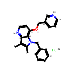 Cc1c(C)n(Cc2ccccc2)c2c(OCc3cccnc3)ccnc12.Cl